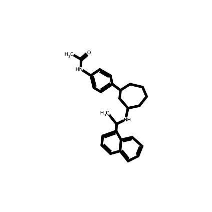 CC(=O)Nc1ccc(C2CCCCC(NC(C)c3cccc4ccccc34)C2)cc1